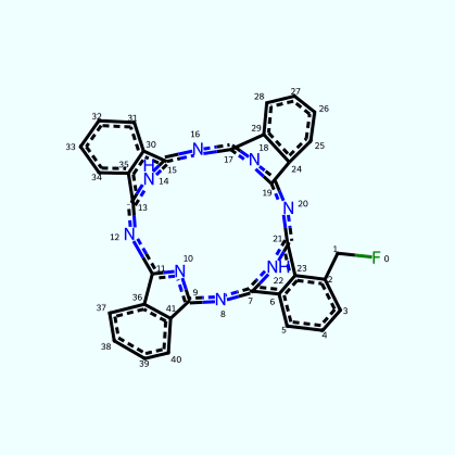 FCc1cccc2c3nc4nc(nc5[nH]c(nc6nc(nc([nH]3)c12)-c1ccccc1-6)c1ccccc51)-c1ccccc1-4